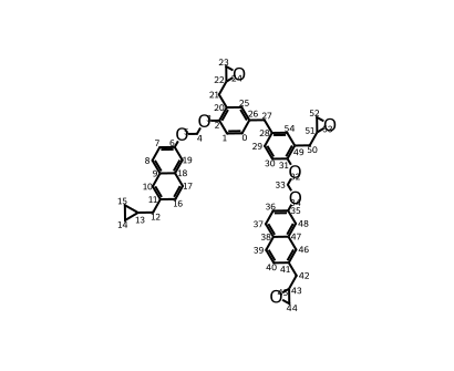 c1cc(OCOc2ccc3cc(CC4CC4)ccc3c2)c(CC2CO2)cc1Cc1ccc(OCOc2ccc3ccc(CC4CO4)cc3c2)c(CC2CO2)c1